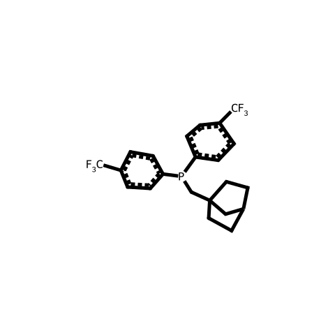 FC(F)(F)c1ccc(P(CC23CCC(CC2)C3)c2ccc(C(F)(F)F)cc2)cc1